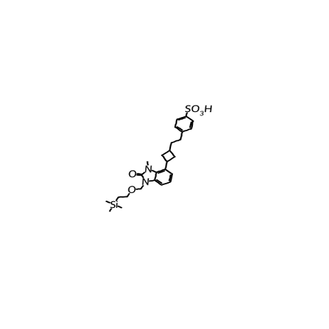 Cn1c(=O)n(COCC[Si](C)(C)C)c2cccc(C3CC(CCc4ccc(S(=O)(=O)O)cc4)C3)c21